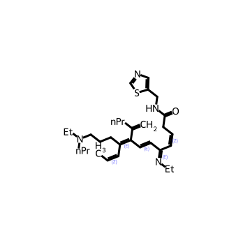 C=C(CCC)C(/C=C/C(/C=C\CC(=O)NCc1cncs1)=N/CC)=C(/C=C\C)CCCN(CC)CCC